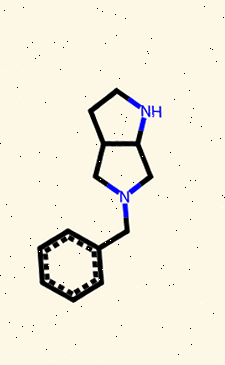 c1ccc(CN2CC3CCNC3C2)cc1